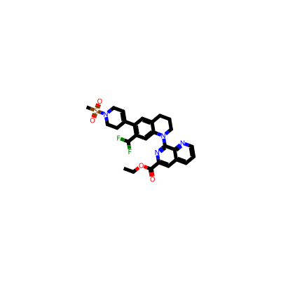 CCOC(=O)c1cc2cccnc2c(N2CCCc3cc(C4=CCN(S(C)(=O)=O)CC4)c(C(F)F)cc32)n1